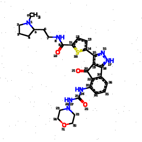 CN1CCCC1CCNC(=O)c1ccc(-c2n[nH]c3c2C(=O)c2c(NC(=O)NN4CCOCC4)cccc2-3)s1